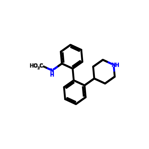 O=C(O)Nc1ccccc1-c1ccccc1C1CCNCC1